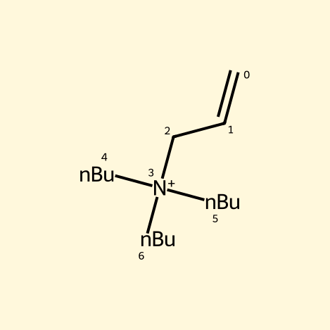 C=CC[N+](CCCC)(CCCC)CCCC